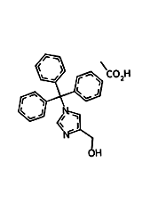 CC(=O)O.OCc1cn(C(c2ccccc2)(c2ccccc2)c2ccccc2)cn1